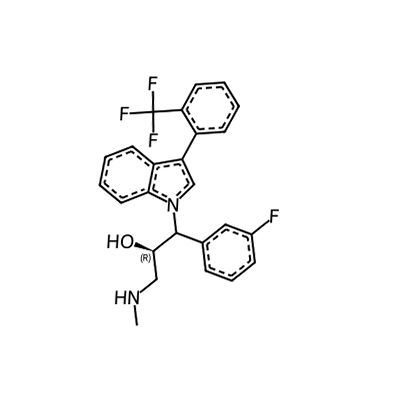 CNC[C@@H](O)C(c1cccc(F)c1)n1cc(-c2ccccc2C(F)(F)F)c2ccccc21